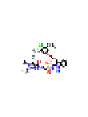 Cc1cc(OCCCc2c(C(O)NS(=O)(=O)CCNC(=O)c3cc(C)n(C4CC4)c3C)[nH]c3ccccc23)cc(C)c1Cl